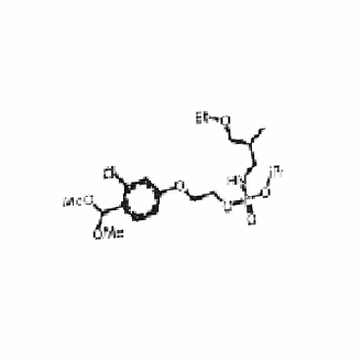 CCOCC(C)CNP(=O)(OCCOc1ccc(C(OC)OC)c(Cl)c1)OC(C)C